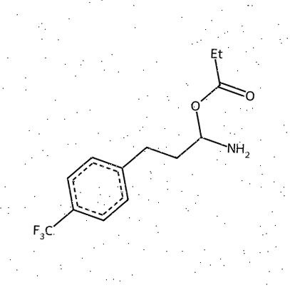 CCC(=O)OC(N)CCc1ccc(C(F)(F)F)cc1